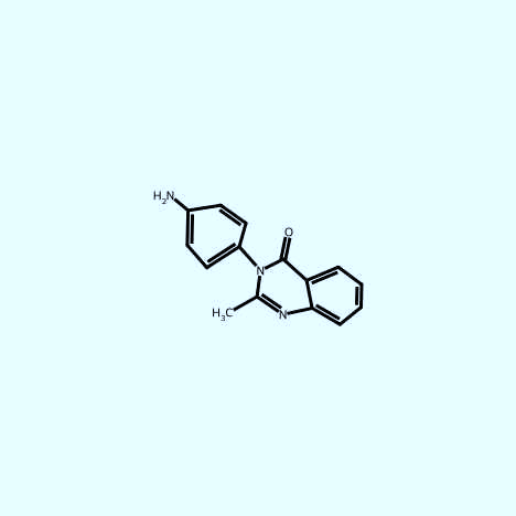 Cc1nc2ccccc2c(=O)n1-c1ccc(N)cc1